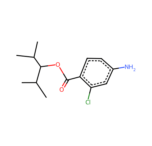 CC(C)C(OC(=O)c1ccc(N)cc1Cl)C(C)C